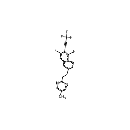 Cc1cnc(CCc2ccc3c(F)c(C#CC(F)(F)F)c(F)cc3c2)nc1